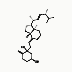 C=C1CC[C@H](O)CC1(O)C/C=C1\CCC[C@]2(C)[C@@H]([C@H](C)/C=C/[C@H](C)C(C)C)CC[C@@H]12